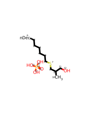 CCCCCCCCCCCCCCCCSCC(C)CO.O=P(O)(O)O